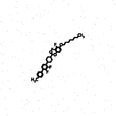 CCCCCCCCOc1ccc(OC(=O)C2CCC(c3ccc(-c4ccc(C)cc4)c(F)c3F)CC2)c(F)c1F